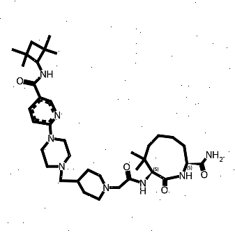 CC1(C)CC(C)(C)C1NC(=O)c1ccc(N2CCN(CC3CCN(CC(=O)N[C@@H]4C(=O)N[C@H](C(N)=O)CCCCC4(C)C)CC3)CC2)nc1